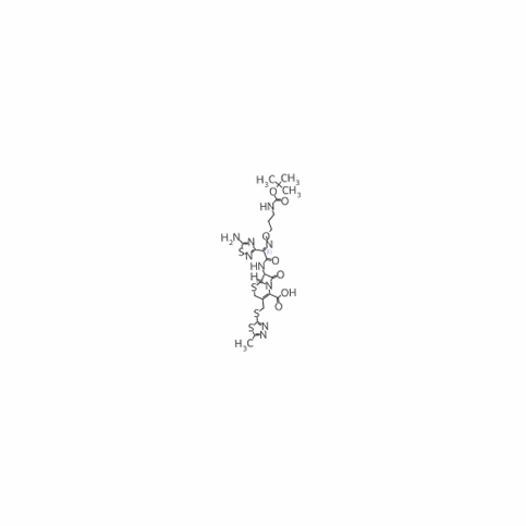 Cc1nnc(SCC2=C(C(=O)O)N3C(=O)C(NC(=O)/C(=N/OCCCNC(=O)OC(C)(C)C)c4nsc(N)n4)[C@H]3SC2)s1